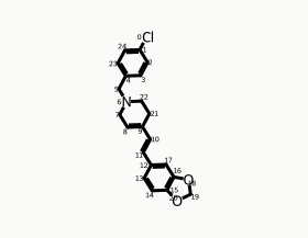 Clc1ccc(CN2CC=C(C=Cc3ccc4c(c3)OCO4)CC2)cc1